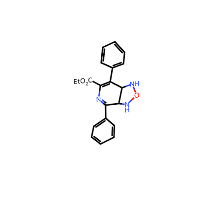 CCOC(=O)C1=C(c2ccccc2)C2NONC2C(c2ccccc2)=N1